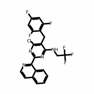 Fc1cc(F)c(Cc2c(Cl)nc(-c3nccc4ccccc34)nc2NCC(F)(F)F)c(F)c1